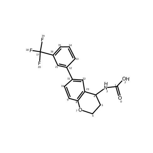 O=C(O)NC1CCOc2ccc(-c3cccc(C(F)(F)F)c3)cc21